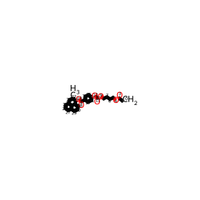 C=CC(=O)OCCCCOC(=O)Oc1ccc(C(=O)OC2C(C)=Cc3cccc4cccc2c34)cc1